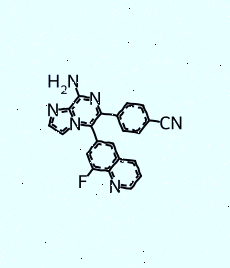 N#Cc1ccc(-c2nc(N)c3nccn3c2-c2cc(F)c3ncccc3c2)cc1